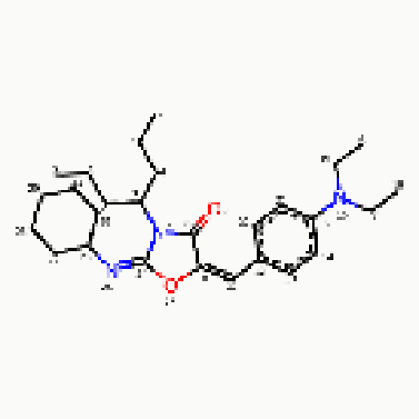 CCCC(CCC)N1C(=O)/C(=C\c2ccc(N(CC)CC)cc2)O/C1=N/C1CCCCC1